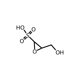 O=S(=O)(O)C1OC1CO